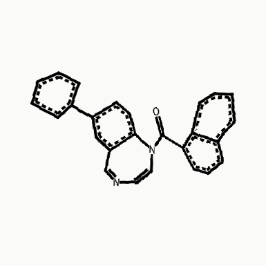 O=C(c1cccc2ccccc12)N1C=CN=Cc2cc(-c3ccccc3)ccc21